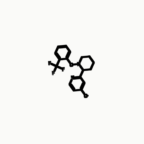 [O]c1ccnc(C2CCCCN2Oc2ccccc2C(F)(F)F)c1